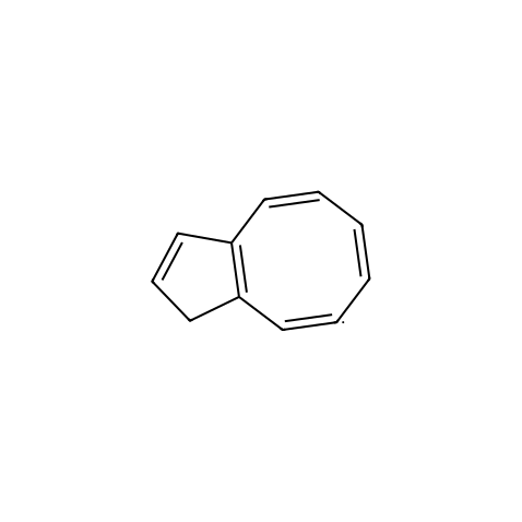 [C]1=C/C2=C(C=CC2)\C=C/C=C\1